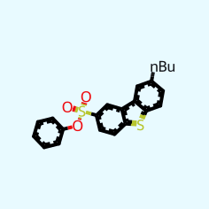 CCCCc1ccc2sc3ccc(S(=O)(=O)Oc4ccccc4)cc3c2c1